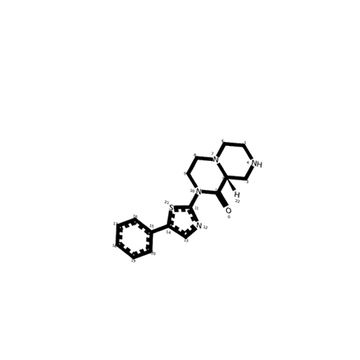 O=C1[C@H]2CNCCN2CCN1c1ncc(-c2ccccc2)s1